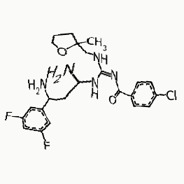 CC1(CN/C(=N/C(=O)c2ccc(Cl)cc2)NC(N)CC(N)c2cc(F)cc(F)c2)CCCO1